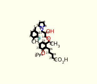 Cc1ccc(C[C@@H]2CCCN2C[C@@H](O)CO[C@H](C)c2cccc(OC(C)C)c2CCCCC(=O)O)cc1F